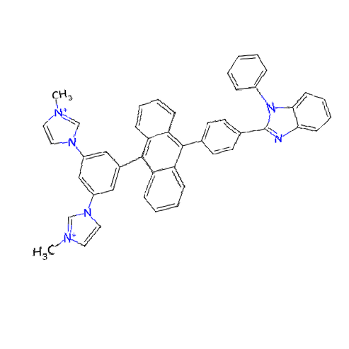 C[n+]1ccn(-c2cc(-c3c4ccccc4c(-c4ccc(-c5nc6ccccc6n5-c5ccccc5)cc4)c4ccccc34)cc(-n3cc[n+](C)c3)c2)c1